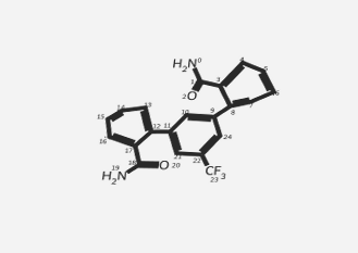 NC(=O)c1[c]c[c]cc1-c1cc(-c2c[c]c[c]c2C(N)=O)cc(C(F)(F)F)c1